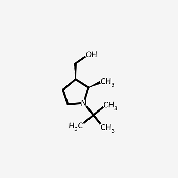 C[C@@H]1[C@H](CO)CCN1C(C)(C)C